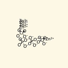 O=P([O-])([O-])[O-].O=P([O-])([O-])[O-].[O]=[Cr](=[O])([O-])[O-].[O]=[Cr](=[O])([O-])[O-].[Zn+2].[Zn+2].[Zn+2].[Zn+2].[Zn+2]